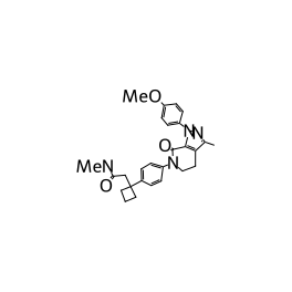 CNC(=O)CC1(c2ccc(N3CCc4c(C)nn(-c5ccc(OC)cc5)c4C3=O)cc2)CCC1